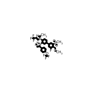 COCc1c(F)cc(-c2ccc(-n3cc(C(F)(F)F)nc3C)c(-n3nncc3-c3ccc(OC(F)(F)F)cc3)c2)cc1S(C)(=O)=O